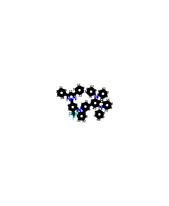 FC(F)(F)c1ccc(-c2nc(-c3ccccc3)cc(-c3ccccc3)n2)cc1-n1c2ccccc2c2cc(-c3cc4c5c(c3)N(c3ccccc3)c3ccccc3B5c3ccccc3N4c3ccccc3)ccc21